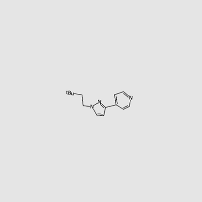 CC(C)(C)CCn1ccc(-c2ccncc2)n1